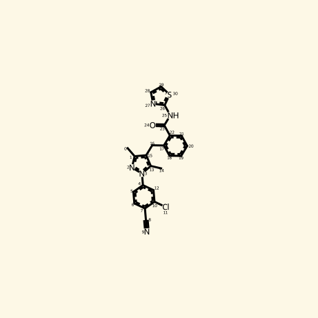 Cc1nn(-c2ccc(C#N)c(Cl)c2)c(C)c1Cc1ccccc1C(=O)Nc1nccs1